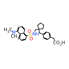 CN(C)c1cccc2c(S(=O)(=O)NCC3(Cc4ccc(CC(=O)O)cc4)CCCC3)cccc12